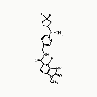 CN(c1ccc(CNC(=O)c2ccc3c([nH]c(=O)n3C)c2F)cn1)C1CCC(F)(F)C1